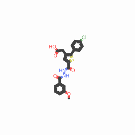 COc1cccc(C(=O)NNC(=O)c2cc(CC(=O)O)c(-c3ccc(Cl)cc3)s2)c1